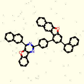 c1ccc2cc(-c3nc(-c4ccc(-c5cc(-c6cccc7ccccc67)cc6oc7cc8ccccc8cc7c56)cc4)nc4c3oc3ccccc34)ccc2c1